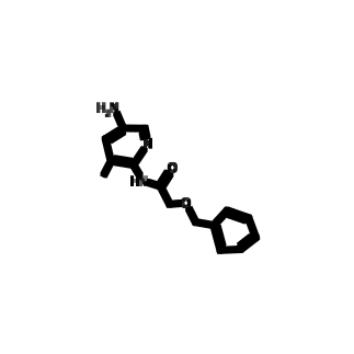 Cc1cc(N)cnc1NC(=O)COCc1ccccc1